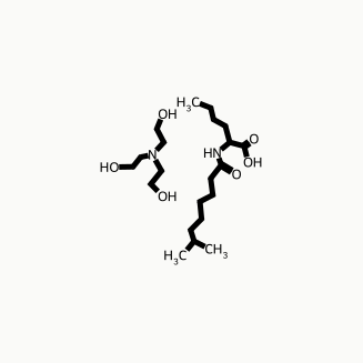 CCCCC(NC(=O)CCCCCC(C)C)C(=O)O.OCCN(CCO)CCO